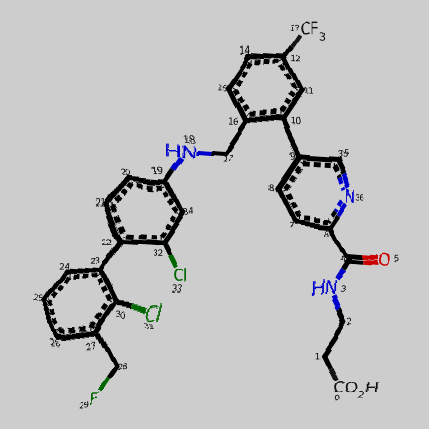 O=C(O)CCNC(=O)c1ccc(-c2cc(C(F)(F)F)ccc2CNc2ccc(-c3cccc(CF)c3Cl)c(Cl)c2)cn1